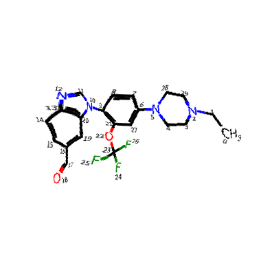 CCN1CCN(c2ccc(-n3cnc4ccc(C=O)cc43)c(OC(F)(F)F)c2)CC1